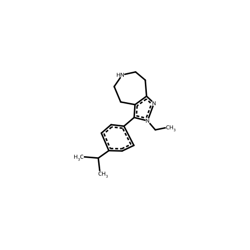 CCn1nc2c(c1-c1ccc(C(C)C)cc1)CCNCC2